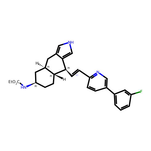 CCOC(=O)N[C@@H]1CC[C@@H]2[C@H](Cc3c[nH]cc3[C@H]2/C=C/c2ccc(-c3cccc(F)c3)cn2)C1